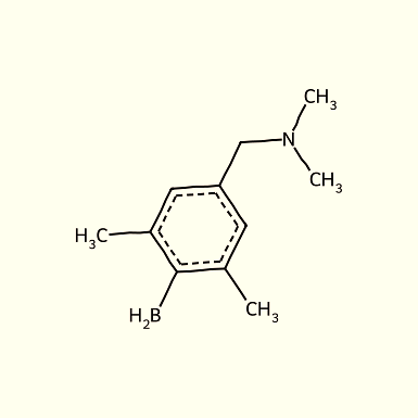 Bc1c(C)cc(CN(C)C)cc1C